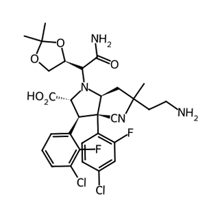 CC(C)(CCN)C[C@@H]1N(C(C(N)=O)[C@H]2COC(C)(C)O2)[C@@H](C(=O)O)[C@H](c2cccc(Cl)c2F)[C@@]1(C#N)c1ccc(Cl)cc1F